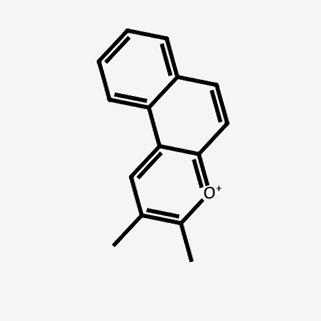 Cc1cc2c(ccc3ccccc32)[o+]c1C